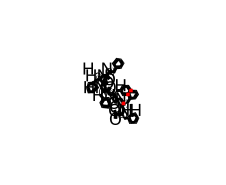 N[C@H](Cc1ccccc1)C(=O)N[C@H](Cc1ccccc1)C(=O)N[C@H](Cc1ccccc1)C(=O)N[C@@H](Cc1ccccc1)C(=O)N[C@@H](Cc1ccccc1)C(=O)N[C@@H](Cc1ccccc1)C(=O)O